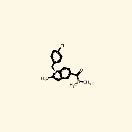 Cc1cc2cc(C(=O)N(C)C)ccc2n1Cc1ccc(Cl)cc1